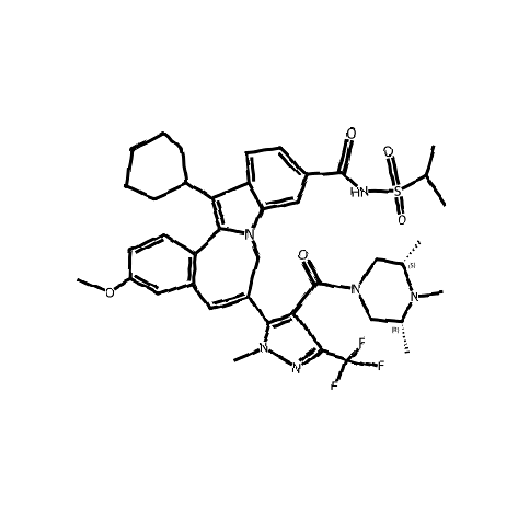 COc1ccc2c(c1)C=C(c1c(C(=O)N3C[C@@H](C)N(C)[C@@H](C)C3)c(C(F)(F)F)nn1C)Cn1c-2c(C2CCCCC2)c2ccc(C(=O)NS(=O)(=O)C(C)C)cc21